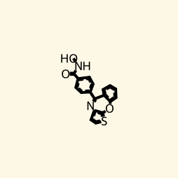 O=C(NO)c1ccc(C2=Nc3ccsc3Oc3ccccc32)cc1